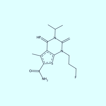 C=C1N(CCCF)c2sc(C(N)=O)c(C)c2C(=P)N1C(C)C